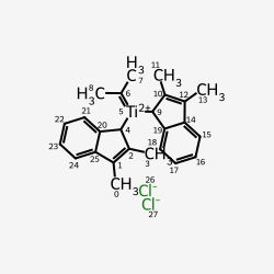 CC1=C(C)[CH]([Ti+2](=[C](C)C)[CH]2C(C)=C(C)c3ccccc32)c2ccccc21.[Cl-].[Cl-]